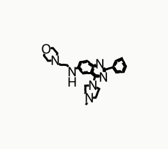 CN1CCN(c2nc(-c3ccccc3)nc3ccc(NCCN4CCOCC4)cc23)CC1